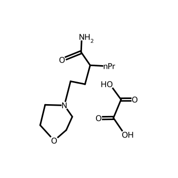 CCCC(CCN1CCOCC1)C(N)=O.O=C(O)C(=O)O